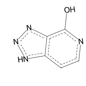 Oc1nccc2[nH]nnc12